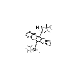 CC(C)C(C)([SiH2]C#Cc1c2cc3ccccc3cc2c(C#C[SiH2]C(C)(C(C)C)C(C)C)c2cc3ccccc3cc12)C(C)C